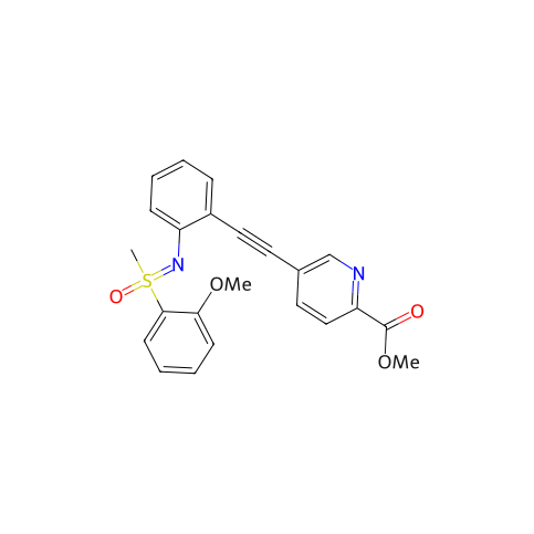 COC(=O)c1ccc(C#Cc2ccccc2N=S(C)(=O)c2ccccc2OC)cn1